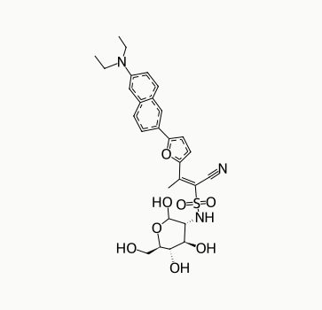 CCN(CC)c1ccc2cc(-c3ccc(/C(C)=C(\C#N)S(=O)(=O)N[C@H]4C(O)O[C@H](CO)[C@@H](O)[C@@H]4O)o3)ccc2c1